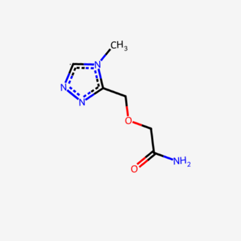 Cn1[c]nnc1COCC(N)=O